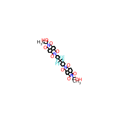 CCC(CO)N1C(=O)c2ccc3c4c(ccc(c24)C1=O)C(=O)N(c1ccc(C(c2ccc(N4C(=O)c5ccc6c7c(ccc(c57)C4=O)C(=O)N(C(CC)CO)C6=O)cc2)(C(F)(F)F)C(F)(F)F)cc1)C3=O